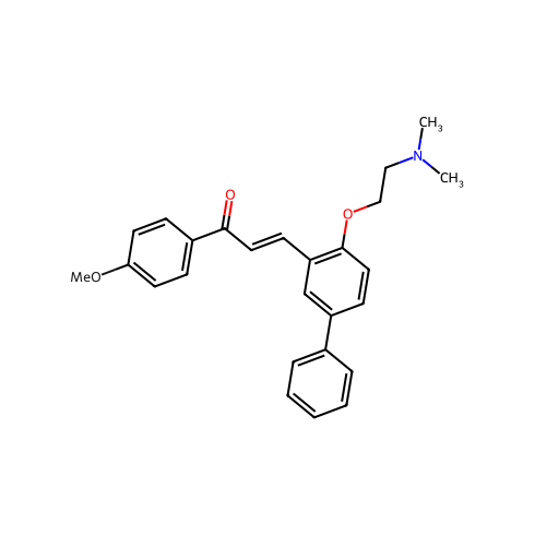 COc1ccc(C(=O)C=Cc2cc(-c3ccccc3)ccc2OCCN(C)C)cc1